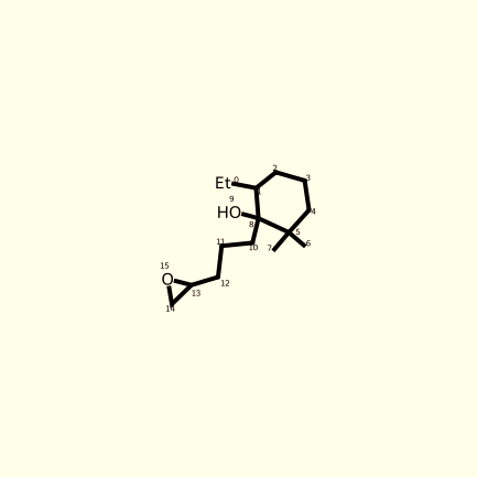 CCC1CCCC(C)(C)C1(O)CCCC1CO1